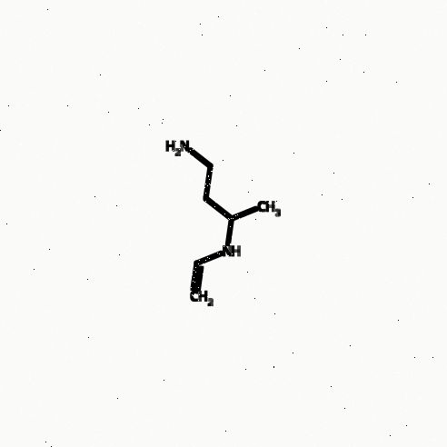 C=CNC(C)CCN